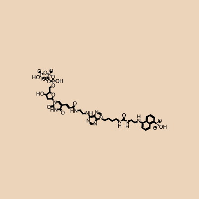 O=C(/C=C/c1cn(C2CC(O)C(COP(=O)(O)OP(=O)(O)OP(=O)(O)O)O2)c(=O)[nH]c1=O)NCCNc1ncnc2c1ncn2CCCCNC(=O)NCCNc1cccc2c(S(=O)(=O)O)cccc12